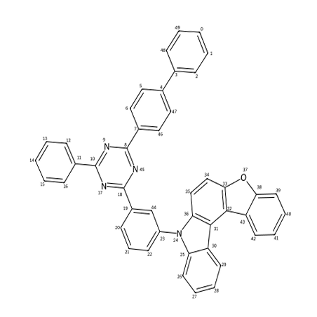 c1ccc(-c2ccc(-c3nc(-c4ccccc4)nc(-c4cccc(-n5c6ccccc6c6c7c(ccc65)oc5ccccc57)c4)n3)cc2)cc1